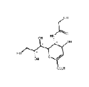 O=C(CO)N[C@@H]1C(O)C=C(C(=O)O)OC1[C@H](O)[C@H](O)CO